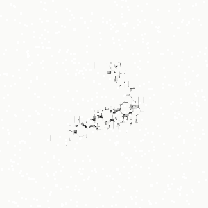 C=C(C)C1CC[C@]2(NCC(=O)N3CCN(S(C)(=O)=O)CC3)CC[C@]3(C)[C@H](CC[C@@H]4[C@@]5(C)CC=C(C6=CC[C@](CF)(C(=O)O)CC6)C(C)(C)[C@@H]5CC[C@]43C)[C@@H]12